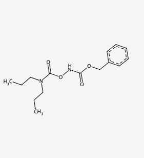 CCCN(CCC)C(=O)ONC(=O)OCc1ccccc1